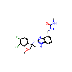 CNC(=O)NCc1cccc2[nH]c(NC(C)(COC)c3ccc(F)c(Cl)c3)nc12